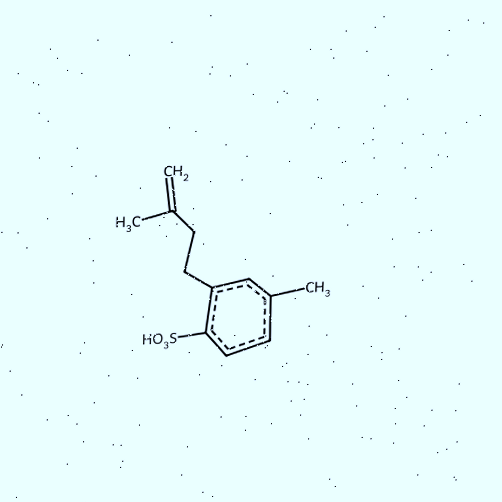 C=C(C)CCc1cc(C)ccc1S(=O)(=O)O